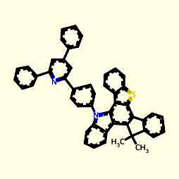 CC1(C)c2ccccc2-c2c1c1c3ccccc3n(-c3ccc(-c4cc(-c5ccccc5)cc(-c5ccccc5)n4)cc3)c1c1c2sc2ccccc21